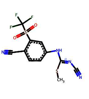 CS/C(=N\C#N)Nc1ccc(C#N)c(S(=O)(=O)C(F)(F)F)c1